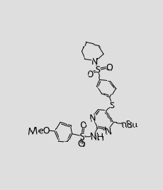 CCCCc1nc(NS(=O)(=O)c2ccc(OC)cc2)ncc1Sc1ccc(S(=O)(=O)N2CCCCC2)cc1